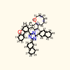 C=C/C1=C(\C=C/Cc2ccc3oc4ccccc4c3c2-c2nc(-c3ccc4ccccc4c3)nc(-c3ccc4ccccc4c3)n2)C/C=C\C=C/CO1